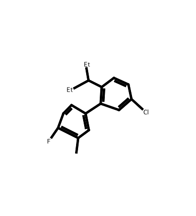 CCC(CC)c1ccc(Cl)cc1-c1ccc(F)c(C)c1